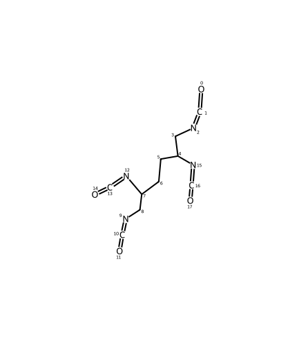 O=C=NCC(CCC(CN=C=O)N=C=O)N=C=O